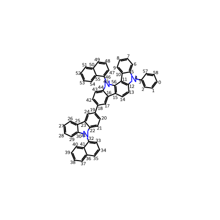 c1ccc(-n2c3ccccc3c3c2ccc2c4cc(-c5ccc6c(c5)c5ccccc5n6-c5cccc6ccccc56)ccc4n(-c4cccc5ccccc45)c23)cc1